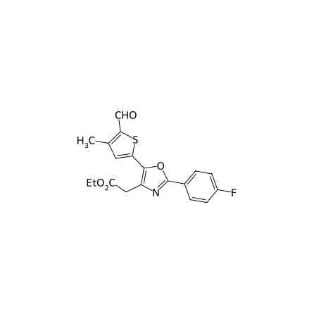 CCOC(=O)Cc1nc(-c2ccc(F)cc2)oc1-c1cc(C)c(C=O)s1